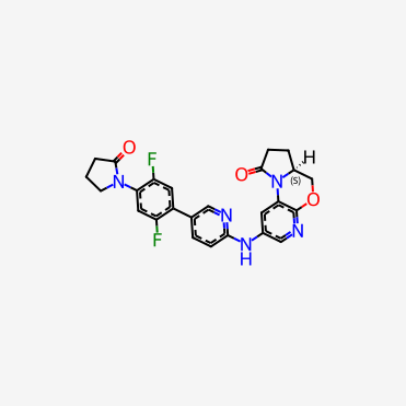 O=C1CCCN1c1cc(F)c(-c2ccc(Nc3cnc4c(c3)N3C(=O)CC[C@H]3CO4)nc2)cc1F